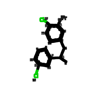 CC(C)c1cc(CC(C)c2cccc(Cl)c2)ccc1Cl